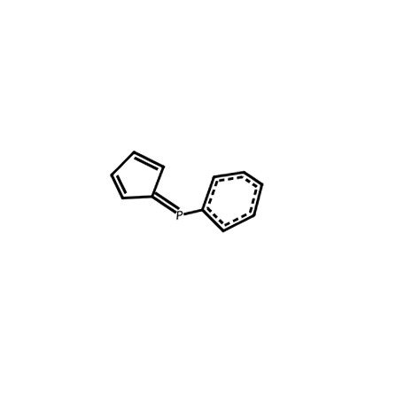 C1=CC(=Pc2ccccc2)C=C1